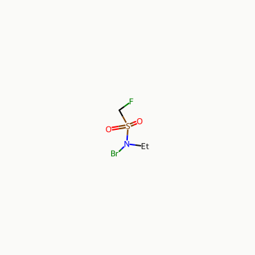 CCN(Br)S(=O)(=O)CF